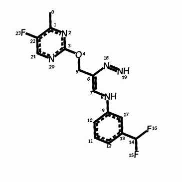 Cc1nc(OC/C(=C/Nc2cccc(C(F)F)c2)N=N)ncc1F